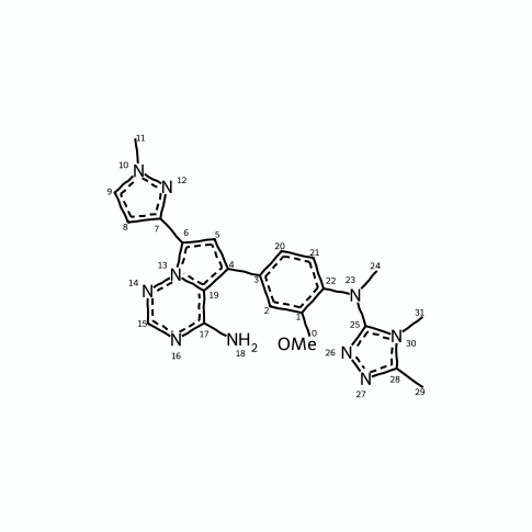 COc1cc(-c2cc(-c3ccn(C)n3)n3ncnc(N)c23)ccc1N(C)c1nnc(C)n1C